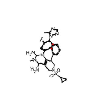 Cc1ncnn1-c1ccc(N2C3=C(CN(S(=O)(=O)C4CC4)CC3c3ccccc3)C(N)N(C)C2N)cc1F